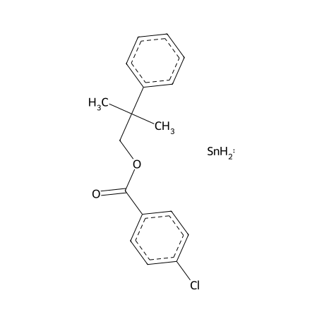 CC(C)(COC(=O)c1ccc(Cl)cc1)c1ccccc1.[SnH2]